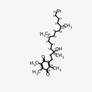 CC1=C(C)C(=O)C(CC[C@@](C)(O)CCC[C@H](C)CCC[C@H](C)CCCC(C)C)=C(C)C1=O